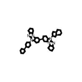 c1ccc(-c2ccc(-n3c4ccc(-c5ccc6c(c5)n5c7ccccc7nc5n6-c5ccc6ccccc6c5)cc4n4c5ccccc5nc34)cc2)cc1